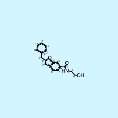 O=C(NCCO)c1ccc2cc(Cc3ccccc3)oc2c1